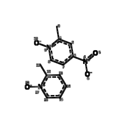 Cc1cc([N+](=O)[O-])cc[n+]1[O-].Cc1cccc[n+]1[O-]